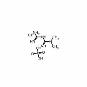 CN(C)C(=N)NC(=N)N.O=P([O-])(O)O.[Cs+]